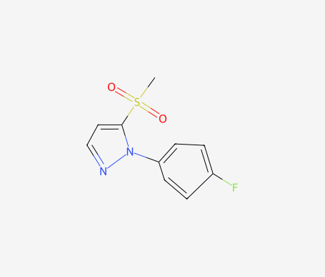 CS(=O)(=O)c1ccnn1-c1ccc(F)cc1